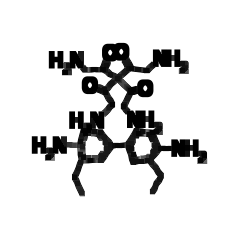 CCc1cc(-c2ccc(N)c(CC)c2)ccc1N.NCC(=O)C(C(=O)CN)(C(=O)CN)C(=O)CN